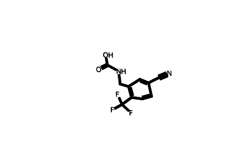 N#Cc1ccc(C(F)(F)F)c(CNC(=O)O)c1